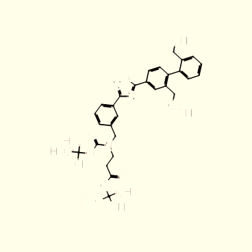 CCc1ccccc1-c1ccc(-c2nc(-c3cccc(CN(CCC(=O)OC(C)(C)C)C(=O)OC(C)(C)C)c3)no2)cc1COC